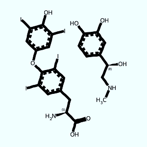 CNC[C@H](O)c1ccc(O)c(O)c1.N[C@@H](Cc1cc(I)c(Oc2cc(I)c(O)c(I)c2)c(I)c1)C(=O)O